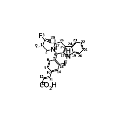 C[C@H](CF)CN1C(c2ccc(C=CC(=O)O)cc2F)c2[nH]c3ccccc3c2CC1(C)C